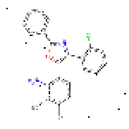 CCc1ccc(-c2oc(-c3ccccc3)nc2-c2ccccc2Cl)c(N)c1CC